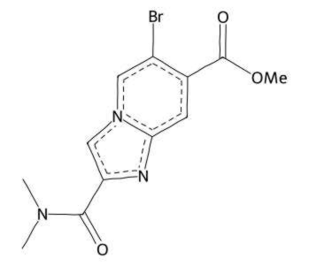 COC(=O)c1cc2nc(C(=O)N(C)C)cn2cc1Br